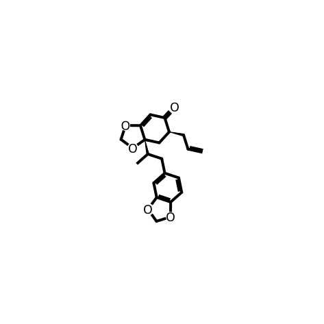 C=CC[C@H]1C[C@]2(C(C)Cc3ccc4c(c3)OCO4)OCOC2=CC1=O